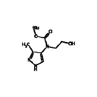 Cc1n[nH]cc1N(CCO)C(=O)OC(C)(C)C